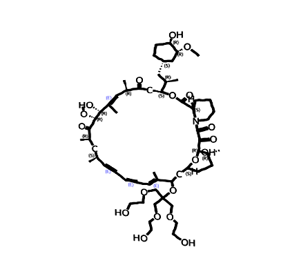 CO[C@@H]1C[C@H](C[C@@H](C)[C@@H]2CC(=O)[C@H](C)/C=C(\C)[C@@H](O)[C@@H](OC)C(=O)[C@H](C)C[C@H](C)/C=C/C=C/C=C(\C)C(OC(COCCO)(COCCO)COCCO)C[C@@H]3CC[C@@H](C)[C@@](O)(O3)C(=O)C(=O)N3CCCC[C@H]3C(=O)O2)CC[C@H]1O